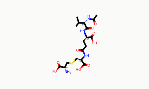 CC(=O)N[C@H](C(=O)N[C@H](CCC(=O)N[C@H](CSC[C@H](N)C(=O)O)C(=O)O)C(=O)O)C(C)C